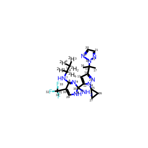 [2H]C([2H])([2H])C([2H])([2H])NC1=NC(N)(c2cc(C(C)(C)n3nccn3)nn2C2CC2)NC=C1C(F)(F)F